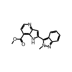 COC(=O)c1ccnc2cc(-c3c4ccccc4nn3C)[nH]c12